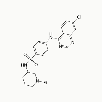 CCN1CCCC(NS(=O)(=O)c2ccc(Nc3ncnc4cc(Cl)ccc34)cc2)C1